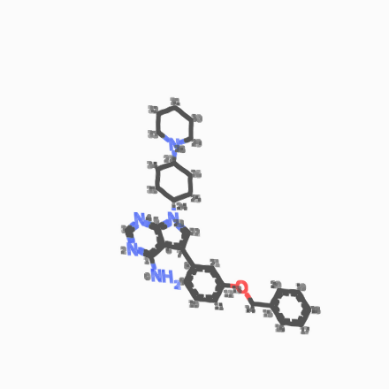 Nc1ncnc2c1c(-c1cccc(OCc3ccccc3)c1)cn2[C@H]1CC[C@H](N2CCCCC2)CC1